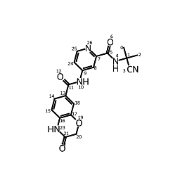 CC(C)(C#N)NC(=O)c1cc(NC(=O)c2ccc3c(c2)OCC(=O)N3)ccn1